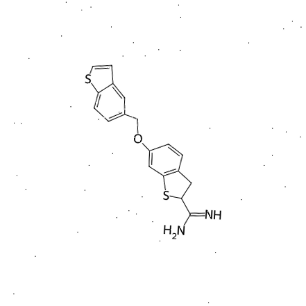 N=C(N)C1Cc2ccc(OCc3ccc4sccc4c3)cc2S1